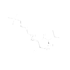 CC(C)[C@@H](O)N/C(=N\NCOCC[Si](C)(C)C)C(N)=O